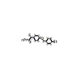 CCC/C(F)=C(\F)c1ccc(OCc2ccc(CC)cc2)cc1